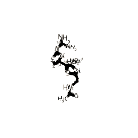 Br.Br.CC(=O)NCc1ncc(-c2csc(N=C(N)N)n2)s1